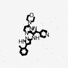 Cc1ccccc1-c1cc(Nc2c(-c3ccncc3)nn3c(N4CCOCC4)ccnc23)n[nH]1